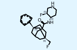 O=C(N[C@H]1CCNC[C@@H]1F)C12CC3C[C@@](CF)(C1)C[C@](c1ccccc1)(C3)C2